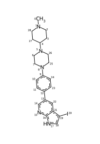 CN1CCC(N2CCN(c3ccc(-c4cnc5[nH]cc(I)c5c4)cc3)CC2)CC1